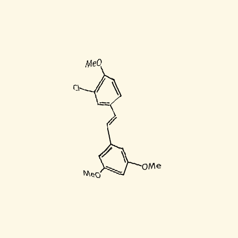 COc1cc(/C=C/c2ccc(OC)c(Cl)c2)cc(OC)c1